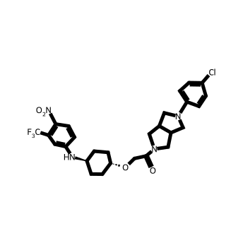 O=C(CO[C@H]1CC[C@H](Nc2ccc([N+](=O)[O-])c(C(F)(F)F)c2)CC1)N1CC2CN(c3ccc(Cl)cc3)CC2C1